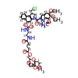 CCC(CO)OC(COC(=O)CCCC(=O)NCCNC(=O)Oc1cc2c(c3ccccc13)[C@H](CCl)CN2C(=O)c1cc2cc(OC)c(OC)c(OC)c2[nH]1)OC